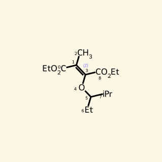 CCOC(=O)/C(C)=C(\OC(CC)C(C)C)C(=O)OCC